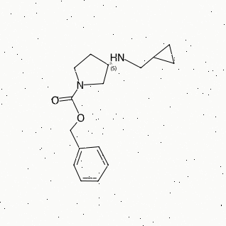 O=C(OCc1ccccc1)N1CC[C@H](NCC2CC2)C1